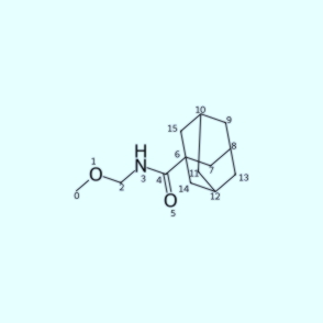 COCNC(=O)C12CC3CC(CC(C3)C1)C2